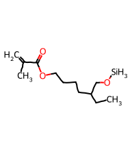 C=C(C)C(=O)OCCCCC(CC)CO[SiH3]